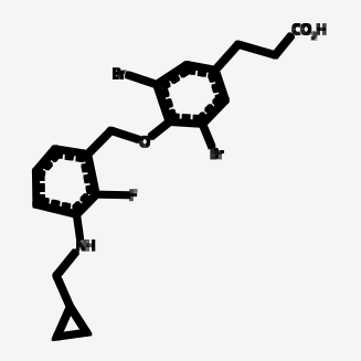 O=C(O)CCc1cc(Br)c(OCc2cccc(NCC3CC3)c2F)c(Br)c1